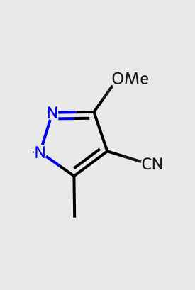 COC1=N[N]C(C)=C1C#N